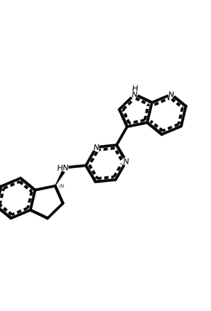 c1ccc2c(c1)CC[C@@H]2Nc1ccnc(-c2c[nH]c3ncccc23)n1